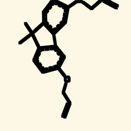 C=CCOc1ccc2c(c1)-c1cc(OCC=C)ccc1C2(C)C